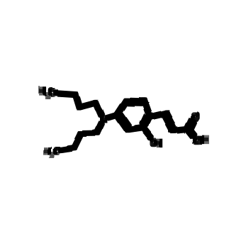 CCCCN(CCCC)c1ccc(/C=C/C(=O)O)c(O)c1